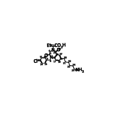 CCC(C(=O)O)N1CC(=O)N(Cc2ccc(Cl)cc2)c2ccc(CCCCCCN)cc2C1=O